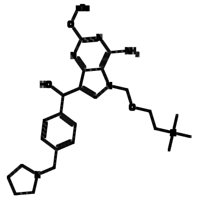 CCCCOc1nc(N)c2c(n1)c(C(O)c1ccc(CN3CCCC3)cc1)cn2COCC[Si](C)(C)C